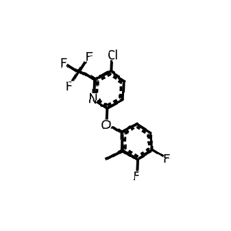 Cc1c(Oc2ccc(Cl)c(C(F)(F)F)n2)ccc(F)c1F